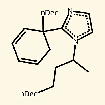 CCCCCCCCCCCCC(C)n1ccnc1C1(CCCCCCCCCC)C=CC=CC1